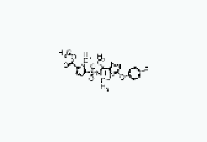 CCn1c(Oc2ccc(F)cc2)nnc1[C@@H](C)NS(=O)(=O)c1ccc(C(=O)OC)n1C